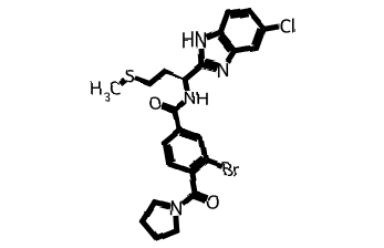 CSCC[C@H](NC(=O)c1ccc(C(=O)N2CCCC2)c(Br)c1)c1nc2cc(Cl)ccc2[nH]1